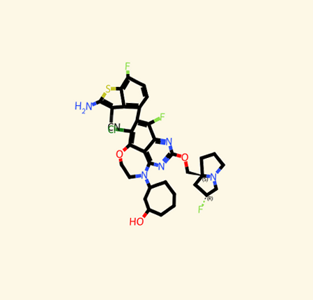 N#Cc1c(N)sc2c(F)ccc(-c3c(Cl)c4c5c(nc(OC[C@@]67CCCN6C[C@H](F)C7)nc5c3F)N(C3CCCCC(O)C3)CCO4)c12